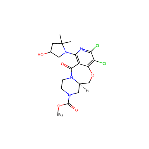 CC(C)(C)OC(=O)N1CCN2C(=O)c3c(N4CC(O)CC4(C)C)nc(Cl)c(Cl)c3OC[C@H]2C1